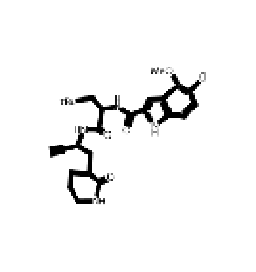 C#CC(CC1CCCNC1=O)NC(=O)C(CC(C)(C)C)NC(=O)c1cc2c(OC)c(Cl)ccc2[nH]1